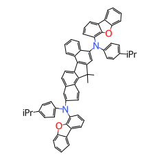 CC(C)c1ccc(N(c2ccc3c4c(ccc3c2)-c2c(cc(N(c3ccc(C(C)C)cc3)c3cccc5c3oc3ccccc35)c3ccccc23)C4(C)C)c2cccc3c2oc2ccccc23)cc1